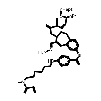 C=CC(=C)N(C)CCCCCCBc1ccc(C(=C)Bc2ccc3c(c2)C=C(/C=N/N)C(CC(=C)C(C)/C=C\C(CCC)SCCCCCCC)CC3)cc1